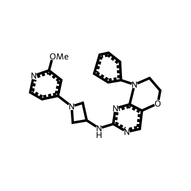 COc1cc(N2CC(Nc3ncc4c(n3)N(c3ccccc3)CCO4)C2)ccn1